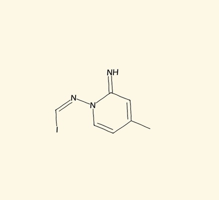 Cc1ccn(/N=C\I)c(=N)c1